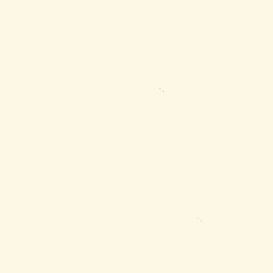 c1cc(-c2ccc(N(c3ccc(-c4cccc5ccccc45)cc3)c3cccc(-c4ccc5c(c4)oc4ccccc45)c3)cc2)cc(-c2ccc(-n3c4ccccc4c4ccccc43)cc2)c1